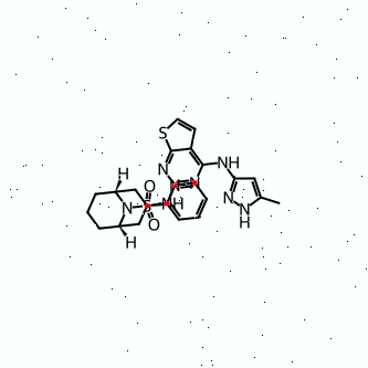 Cc1cc(Nc2nc(N[C@@H]3C[C@H]4CCC[C@@H](C3)N4S(=O)(=O)c3ccccn3)nc3sccc23)n[nH]1